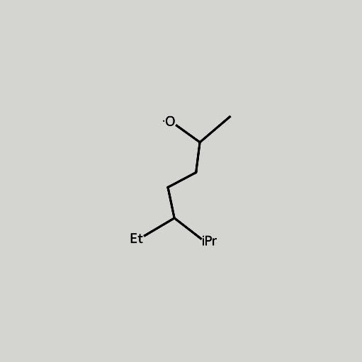 CCC(CCC(C)[O])C(C)C